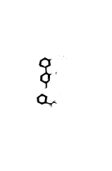 CCCOc1cc(COc2cccc([C@H](C)C(C)C(=O)O)c2)ccc1-c1cc(OC)ccc1F